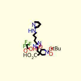 CC(C)(C)OC(=O)N1CCC(CC(=O)O)(Cc2nc(CCCCNc3ccccn3)no2)CC1.O=C(O)C(F)(F)F